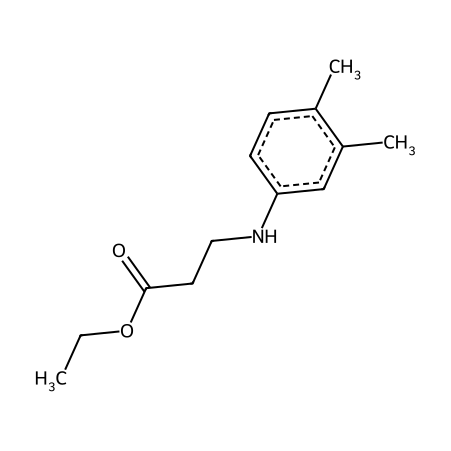 CCOC(=O)CCNc1ccc(C)c(C)c1